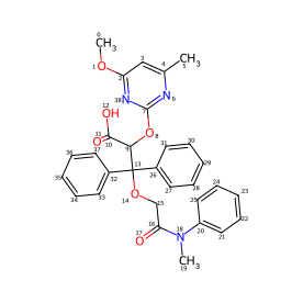 COc1cc(C)nc(OC(C(=O)O)C(OCC(=O)N(C)c2ccccc2)(c2ccccc2)c2ccccc2)n1